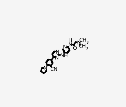 CN(C)CC(=O)Nc1ccc(Nc2nccc(-c3ccc(N4CCCC4)c(C#N)c3)n2)cn1